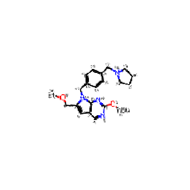 CCCCOc1ncc2cc(COCC)n(Cc3ccc(CN4CCCC4)cc3)c2n1